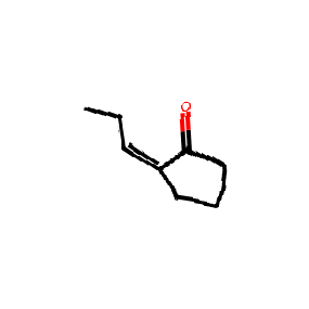 CC/C=C1/CCCC1=O